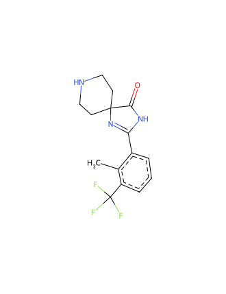 Cc1c(C2=NC3(CCNCC3)C(=O)N2)cccc1C(F)(F)F